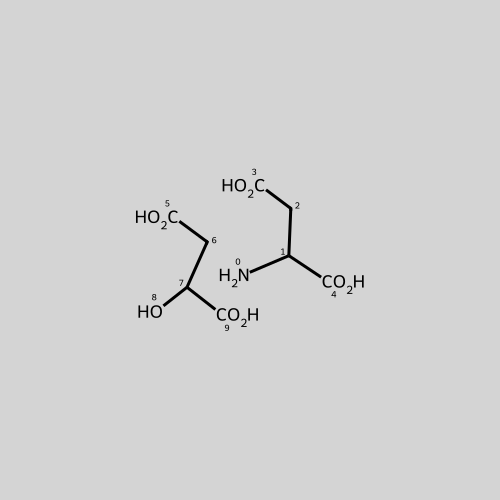 NC(CC(=O)O)C(=O)O.O=C(O)CC(O)C(=O)O